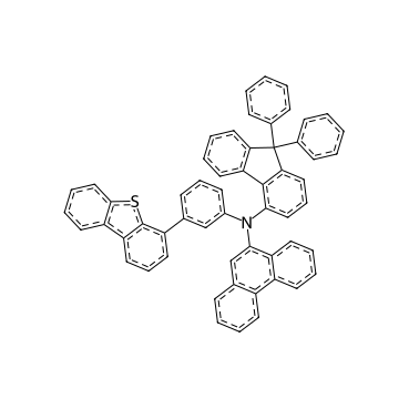 c1ccc(C2(c3ccccc3)c3ccccc3-c3c(N(c4cccc(-c5cccc6c5sc5ccccc56)c4)c4cc5ccccc5c5ccccc45)cccc32)cc1